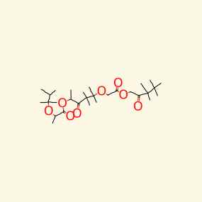 CC(OC(C)(C)C(C)C)C(=O)OC(C)C(=O)C(C)(C)C(C)(C)OCC(=O)OCC(=O)C(C)(C)C(C)(C)C